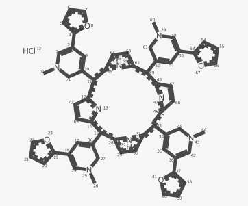 CN1C=C(c2ccco2)C=C(c2c3nc(c(C4=CC(c5ccco5)=CN(C)C4)c4ccc([nH]4)c(C4=CC(c5ccco5)=CN(C)C4)c4nc(c(C5=CC(c6ccco6)=CN(C)C5)c5ccc2[nH]5)C=C4)C=C3)C1.Cl